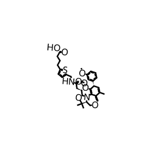 COc1cccc([C@@H]2C=C(C)C3=COC[C@@H](C(C)(C)C)N4C(=O)[C@@H](CC(=O)NCc5ccc(CCCC(=O)O)s5)OC2=C34)c1OC